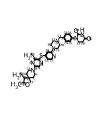 C[C@@H]1OCC2(CCN(c3cnc(Sc4ccnc(N5CCN(Cc6ccc(N7CCC(=O)NC7=O)cc6)CC5)c4)c(N)n3)CC2)[C@@H]1N